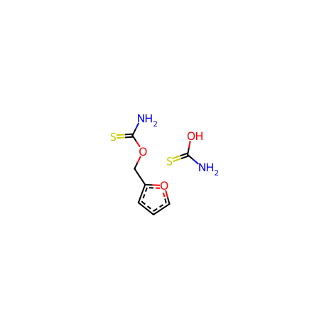 NC(=S)OCc1ccco1.NC(O)=S